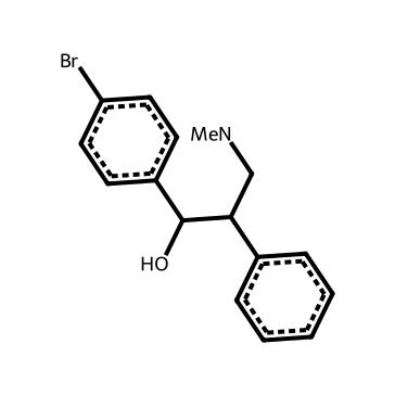 CNCC(c1ccccc1)C(O)c1ccc(Br)cc1